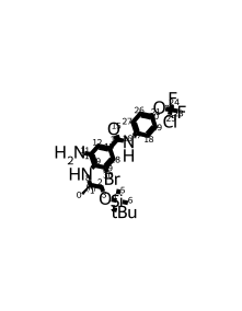 C[C@H](CO[Si](C)(C)C(C)(C)C)Nc1c(N)cc(C(=O)Nc2ccc(OC(F)(F)Cl)cc2)cc1Br